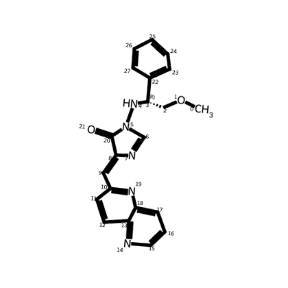 COC[C@H](NN1C=NC(=Cc2ccc3ncccc3n2)C1=O)c1ccccc1